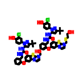 CC(C)(C)c1cc(NC(=O)NCc2ccccc2Oc2ccc3c(c2)N2C=CN(CO)C2S3)n(-c2ccc(O)c(Cl)c2)n1.CC(C)(C)c1cc(NC(=O)NCc2ccccc2Oc2ccc3c(c2)N2C=CN(CSCCO)C2S3)n(-c2ccc(O)c(Cl)c2)n1